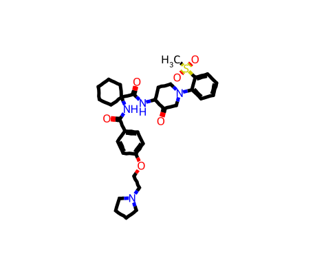 CS(=O)(=O)c1ccccc1N1CCC(NC(=O)C2(NC(=O)c3ccc(OCCN4CCCC4)cc3)CCCCC2)C(=O)C1